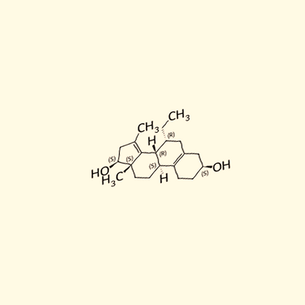 CC[C@@H]1CC2=C(CC[C@H](O)C2)[C@H]2CC[C@@]3(C)C(=C(C)C[C@@H]3O)[C@H]12